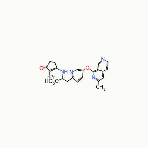 CCCC1=C(NC(Cc2ccc(Oc3nc(C)cc4ccncc34)cn2)C(=O)O)CCC1=O